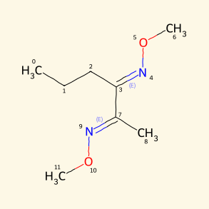 CCCC(=N\OC)/C(C)=N/OC